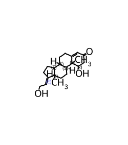 C[C@@]12C(=CC(=O)C[C@H]1O)CC[C@@H]1[C@@H]2CC[C@]2(C)/C(=C/CO)CC[C@@H]12